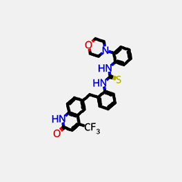 O=c1cc(C(F)(F)F)c2cc(Cc3ccccc3NC(=S)Nc3ccccc3N3CCOCC3)ccc2[nH]1